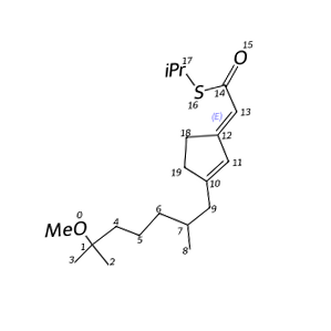 COC(C)(C)CCCC(C)CC1=C/C(=C/C(=O)SC(C)C)CC1